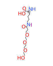 CN[C@@H](CCCCN(I)C(=O)CCOCCOCCOCCO)C(=O)O